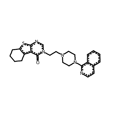 O=c1c2c3c(sc2ncn1CCN1CCN(c2nccc4ccccc24)CC1)CCCC3